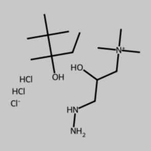 CCC(C)(O)C(C)(C)C.C[N+](C)(C)CC(O)CNN.Cl.Cl.[Cl-]